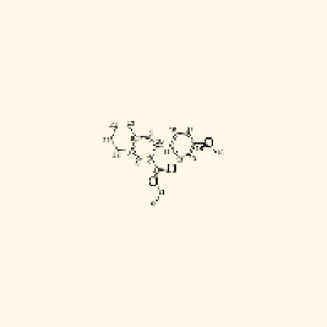 CCOC(=O)c1cc2c(cc1-c1ccc(OC)cc1)CCCC2